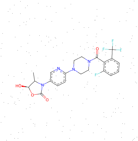 CC1[C@H](O)OC(=O)N1c1ccc(N2CCN(C(=O)c3c(F)cccc3C(F)(F)F)CC2)nc1